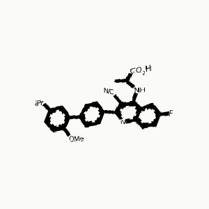 COc1ccc(C(C)C)cc1-c1ccc(-c2nc3ccc(F)cc3c(NC(C)C(=O)O)c2C#N)cc1